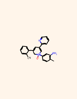 Cc1ccc([N+]2([O-])C=C(c3ccccn3)C=C(c3ccccc3C#N)C2)cc1N